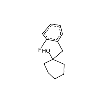 OC1(Cc2ccccc2F)CCCCC1